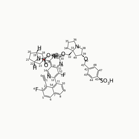 C#Cc1c(F)ccc2cccc(-c3ncc4c(N5C[C@H]6CC[C@@H](C5)N6C(=O)OC(C)(C)C)nc(OC[C@@]56CCCN5C[C@@H](OCc5ccc(S(=O)(=O)O)cc5)C6)nc4c3F)c12